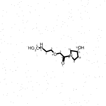 O=C(O)NCCOCC(=O)N1CC[C@@H](O)C1